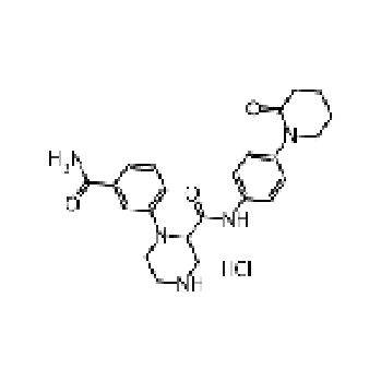 Cl.NC(=O)c1cccc(N2CCNCC2C(=O)Nc2ccc(N3CCCCC3=O)cc2)c1